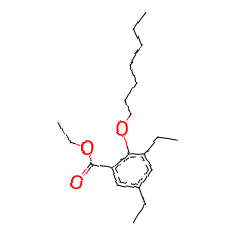 CCCCCCCOc1c(CC)cc(CC)cc1C(=O)OCC